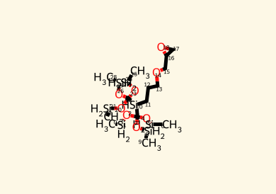 C[SiH2]OC(O[SiH2]C)(O[SiH2]C)[SiH](CCCOCC1CO1)C(O[SiH2]C)(O[SiH2]C)O[SiH2]C